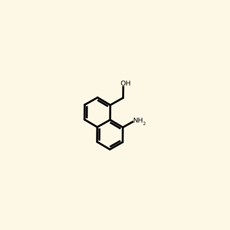 Nc1cccc2cccc(CO)c12